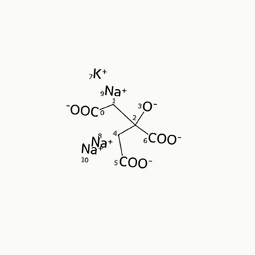 O=C([O-])CC([O-])(CC(=O)[O-])C(=O)[O-].[K+].[Na+].[Na+].[Na+]